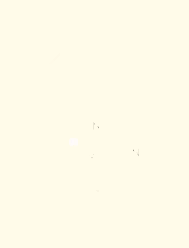 C=C(c1cc(C(C)=O)ccn1)N(CCc1ccc(C)cc1)/C(Br)=C\C